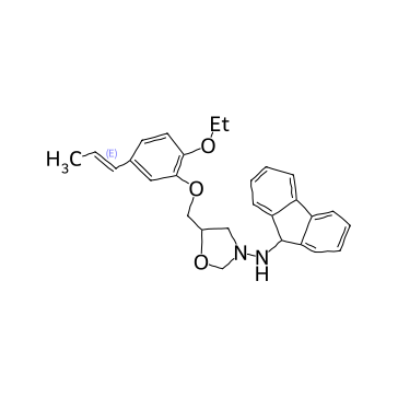 C/C=C/c1ccc(OCC)c(OCC2CN(NC3c4ccccc4-c4ccccc43)CO2)c1